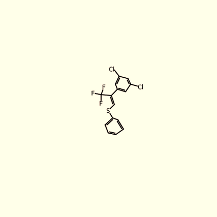 FC(F)(F)C(=CSc1ccccc1)c1cc(Cl)cc(Cl)c1